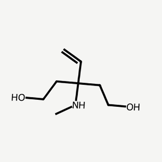 C=CC(CCO)(CCO)NC